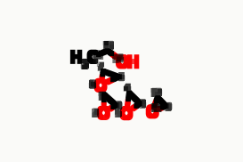 C1CO1.C1CO1.C1CO1.C1CO1.CCO